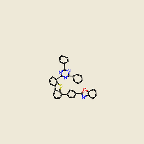 c1ccc(-c2nc(-c3ccccc3)nc(-c3cccc4c3sc3c(-c5ccc(-c6nc7ccccc7o6)cc5)cccc34)n2)cc1